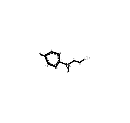 Cc1ccc(N(C)CCCl)cc1